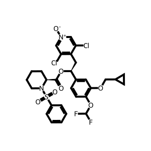 O=C(O[C@@H](Cc1c(Cl)c[n+]([O-])cc1Cl)c1ccc(OC(F)F)c(OCC2CC2)c1)[C@@H]1CCCCN1S(=O)(=O)c1ccccc1